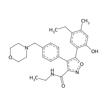 CCNC(=O)c1noc(-c2cc(CC)c(C)cc2O)c1-c1ccc(CN2CCOCC2)cc1